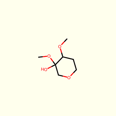 COC1CCOCC1(O)OC